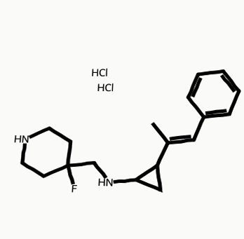 C/C(=C\c1ccccc1)C1CC1NCC1(F)CCNCC1.Cl.Cl